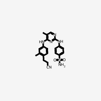 Cc1cc(Nc2nc(Nc3ccc(S(N)(=O)=O)cc3)ncc2C)ccc1CCC#N